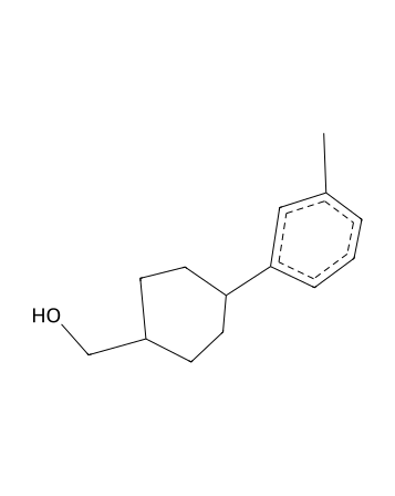 Cc1cccc(C2CCC(CO)CC2)c1